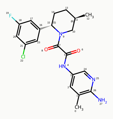 Cc1cc(NC(=O)C(=O)N2C[C@H](C)CC[C@H]2c2cc(F)cc(Cl)c2)cnc1N